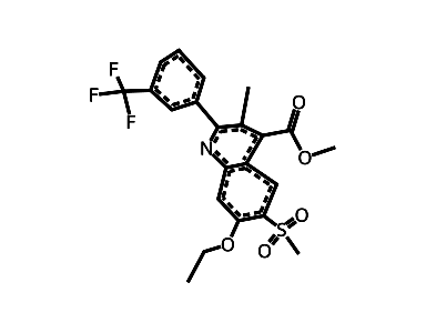 CCOc1cc2nc(-c3cccc(C(F)(F)F)c3)c(C)c(C(=O)OC)c2cc1S(C)(=O)=O